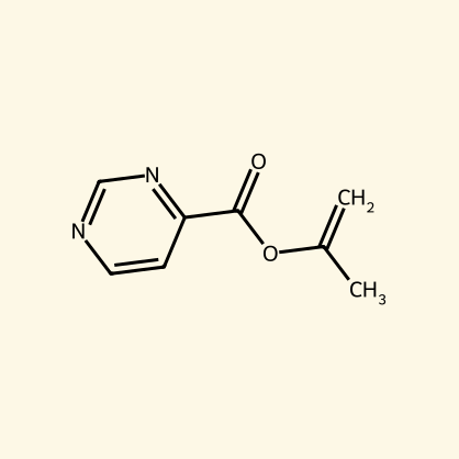 C=C(C)OC(=O)c1ccncn1